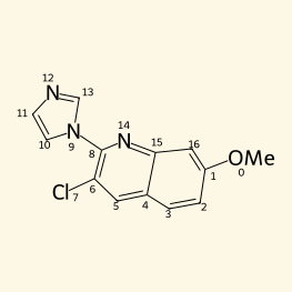 COc1ccc2cc(Cl)c(-n3ccnc3)nc2c1